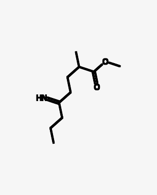 CCCC(=N)CCC(C)C(=O)OC